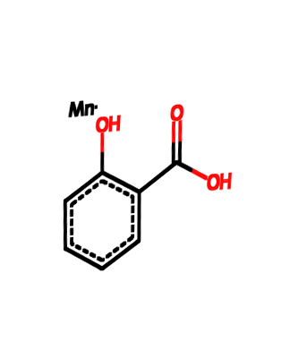 O=C(O)c1ccccc1O.[Mn]